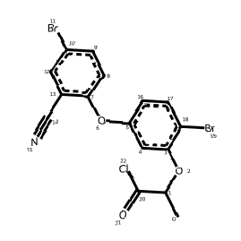 CC(Oc1cc(Oc2ccc(Br)cc2C#N)ccc1Br)C(=O)Cl